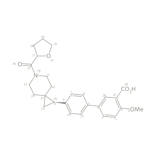 COc1ccc(-c2ccc([C@H]3CC34CCN(C(=O)C3CCCO3)CC4)cc2)cc1C(=O)O